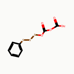 O=C(O)OC(=O)OSSSc1ccccc1